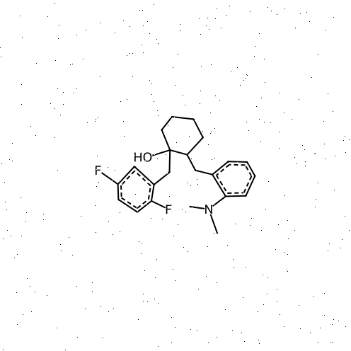 CN(C)c1ccccc1CC1CCCCC1(O)Cc1cc(F)ccc1F